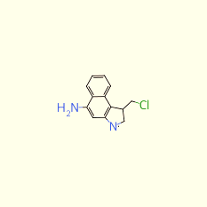 Nc1cc2c(c3ccccc13)C(CCl)C[N]2